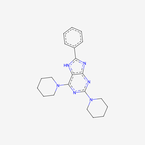 c1ccc(-c2nc3nc(N4CCCCC4)nc(N4CCCCC4)c3[nH]2)cc1